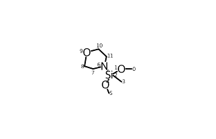 CO[Si](C)(OC)N1CCOCC1